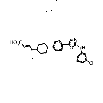 O=C(O)/C=C/C[C@H]1CC[C@@H](c2ccc(-c3cnc(Nc4cccc(Cl)c4)o3)cc2)CC1